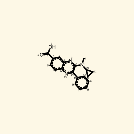 CN(c1nc2cc(C(=O)O)ccc2nc1-c1ccccc1)C1CC1